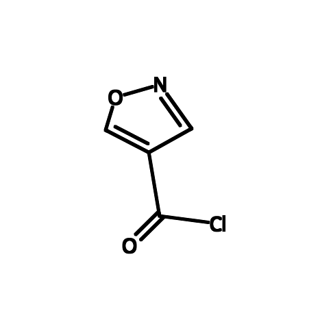 O=C(Cl)c1cnoc1